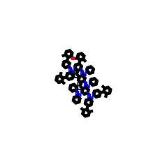 Cc1cccc(C)c1-c1ccc(N(c2ccc(-c3c(C)cccc3C)cc2)c2cc3c4c(c2)N(c2ccccc2)c2cc5c(cc2B4c2ccccc2N3c2ccccc2)B2c3ccc(-c4c(C)cccc4C)cc3N(c3cccc(-c4c(C)cccc4C)c3)c3cc(-c4c(C)cccc4C)cc(c32)N5c2ccccc2)cc1